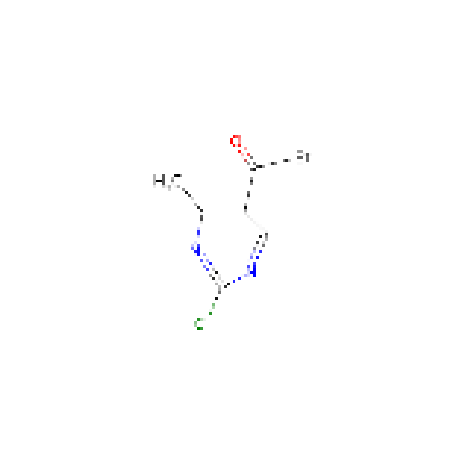 CCC(=O)c1cnc(Cl)nc1C